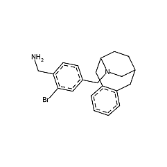 NCc1ccc(CN2CC3CCC2Cc2ccccc2C3)cc1Br